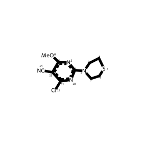 COc1nc(N2CCSCC2)nc(Cl)c1C#N